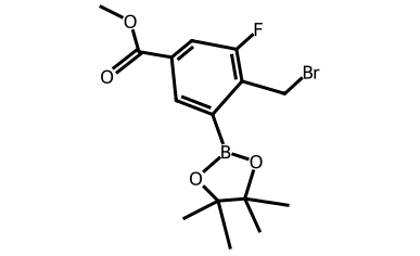 COC(=O)c1cc(F)c(CBr)c(B2OC(C)(C)C(C)(C)O2)c1